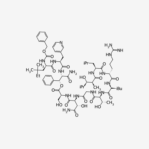 CC[C@H](C)[C@H](NC(=O)[C@@H](CCCNC(=N)N)NC(=O)[C@H](CC(C)C)NC(=O)[C@@H](C)[C@H](O)C(C)C)C(=O)N[C@H](C(=O)NCC(=O)N[C@H](C(=O)N[C@@H](CO)C(=O)O[C@H](c1ccccc1)[C@H](NC(=O)[C@H](Cc1cccnc1)NC(=O)[C@@H](CC(C)(C)CC)NC(=O)OCc1ccccc1)C(N)=O)[C@H](O)C(N)=O)[C@H](C)O